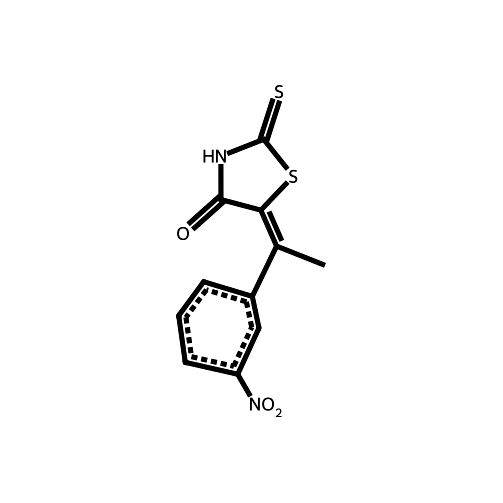 C/C(=C1\SC(=S)NC1=O)c1cccc([N+](=O)[O-])c1